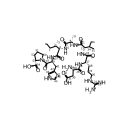 CC[C@H](C)[C@H](NC(=O)[C@H](C)NC(=O)[C@@H](NC(=O)[C@H](CCCNC(=N)N)NC(=O)[C@@H](N)CC(=O)O)C(C)C)C(=O)N[C@@H](Cc1c[nH]cn1)C(=O)N1CCC[C@H]1C(=O)O